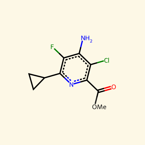 COC(=O)c1nc(C2CC2)c(F)c(N)c1Cl